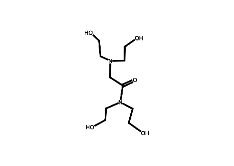 O=C(CN(CCO)CCO)N(CCO)CCO